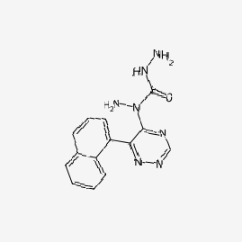 NNC(=O)N(N)c1ncnnc1-c1cccc2ccccc12